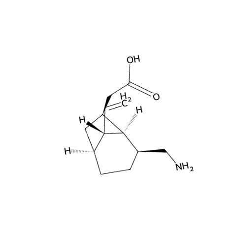 C=C[C@H]1[C@H]2CC[C@H](CN)[C@@H]1[C@H](CC(=O)O)C2